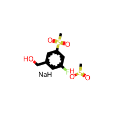 CS(=O)(=O)c1cc(F)cc(CO)c1.CS(=O)O.[NaH]